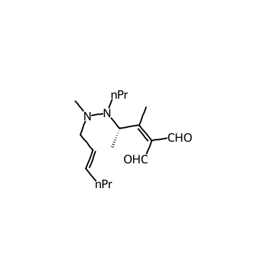 CCC/C=C/CN(C)N(CCC)[C@@H](C)C(C)=C(C=O)C=O